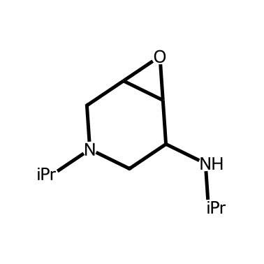 CC(C)NC1CN(C(C)C)CC2OC12